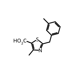 Cc1cccc(Cc2nc(C)c(C(=O)O)s2)c1